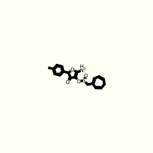 Cc1ccc(C2OC(N)=C(OS(=O)CC3=CC=CCC=C3)C2=O)cc1